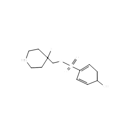 CC1C=CC(S(=O)(=O)OCC2(F)CCNCC2)=CC1